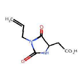 C=CCN1C(=O)NC(CC(=O)O)C1=O